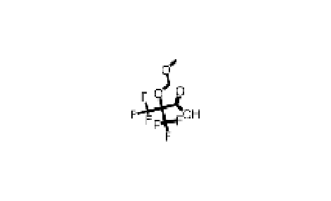 COCOC(C(=O)O)(C(F)(F)F)C(F)(F)F